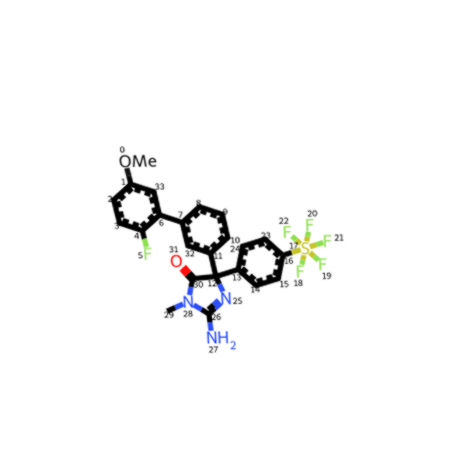 COc1ccc(F)c(-c2cccc(C3(c4ccc(S(F)(F)(F)(F)F)cc4)N=C(N)N(C)C3=O)c2)c1